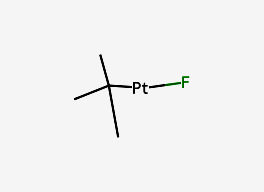 C[C](C)(C)[Pt][F]